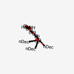 CCCCCCCCCCCCCCCCCCOc1cc(C(=O)OOCCOC(=O)CCC(=O)OC[C@@H]2CNC[C@H](n3cc(C)c(=O)[nH]c3=O)O2)cc(OCCCCCCCCCCCCCCCCCC)c1OCCCCCCCCCCCCCCCCCC